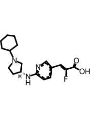 O=C(O)C(F)=Cc1ccc(N[C@@H]2CCN(C3CCCCC3)C2)nc1